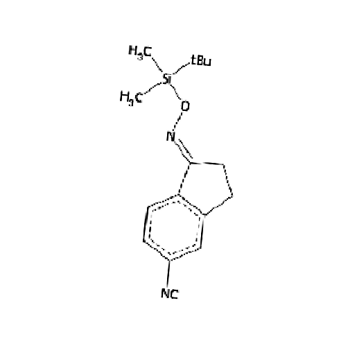 [C-]#[N+]c1ccc2c(c1)CC/C2=N\O[Si](C)(C)C(C)(C)C